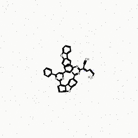 C#C/C(=C\C=C/C)c1nc(-c2ccc3oc4ccccc4c3c2)nc(-c2ccc3oc4cccc(-c5nc(C6=CCCC=C6)cc(-c6ccccc6)n5)c4c3c2)n1